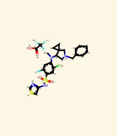 CN(c1cc(F)c(S(=O)(=O)Nc2cscn2)cc1Cl)C1CN(Cc2ccccc2)CC12CC2.O=C(O)C(F)(F)F